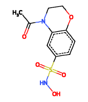 CC(=O)N1CCOc2ccc(S(=O)(=O)NO)cc21